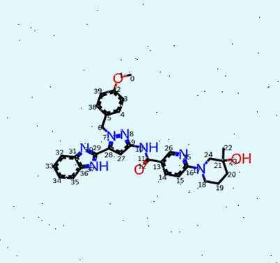 COc1ccc(Cn2nc(NC(=O)c3ccc(N4CCCC(C)(O)C4)nc3)cc2-c2nc3ccccc3[nH]2)cc1